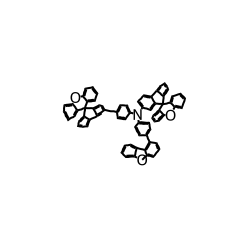 c1ccc2c(c1)Oc1ccccc1C21c2ccccc2-c2cc(-c3ccc(N(c4ccc(-c5cccc6oc7ccccc7c56)cc4)c4ccc5c(c4)C4(c6ccccc6Oc6ccccc64)c4ccccc4-5)cc3)ccc21